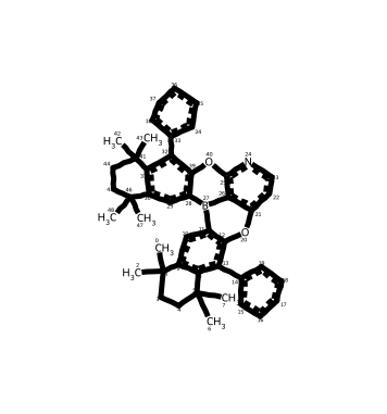 CC1(C)CCC(C)(C)c2c1cc1c(c2-c2ccccc2)Oc2ccnc3c2B1c1cc2c(c(-c4ccccc4)c1O3)C(C)(C)CCC2(C)C